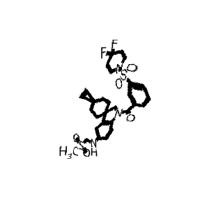 CS(=O)(=O)CNc1ccc2c(c1)C1(CCC3(CC3)CC1)CN2C(=O)c1cccc(S(=O)(=O)N2CCC(F)(F)CC2)c1